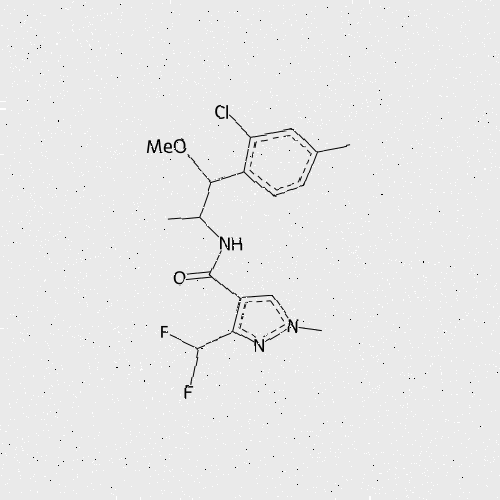 COC(c1ccc(C)cc1Cl)C(C)NC(=O)c1cn(C)nc1C(F)F